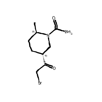 BC(=O)N1C[C@H](C(=O)CBr)CC[C@H]1C